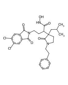 CC(C)CC1(C(CCN2C(=O)c3cc(Cl)c(Cl)cc3C2=O)C(=O)NO)CCN(CCc2ccccc2)C1=O